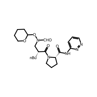 CCCC[C@H](CN(C=O)OC1CCCCO1)C(=O)N1CCC[C@H]1C(=O)Nc1cccnn1